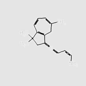 CC1=CC=CC2=C(C1)C(=C=C/C=C\N)CC2(C)C